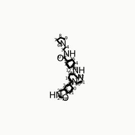 O=C(NCCN1CCCC1)c1ccc(Nc2ccc(-c3ccc4c(c3)CNCO4)n3ccnc23)cc1